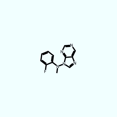 CN(c1ccccc1F)n1cnc2cncnc21